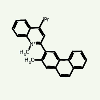 Cc1cc2ccc3ccccc3c2cc1-c1cc(C(C)C)c2ccccc2[n+]1C